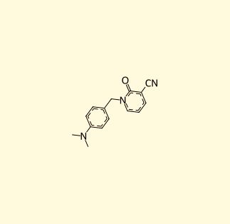 CN(C)c1ccc(Cn2cccc(C#N)c2=O)cc1